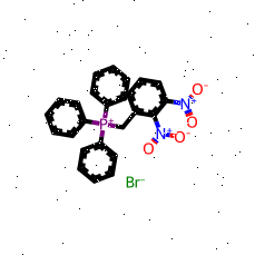 O=[N+]([O-])c1cccc(C[P+](c2ccccc2)(c2ccccc2)c2ccccc2)c1[N+](=O)[O-].[Br-]